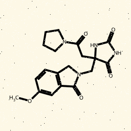 COc1ccc2c(c1)C(=O)N(CC1(CC(=O)N3CCCC3)NC(=O)NC1=O)C2